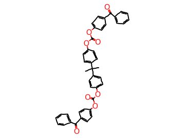 CC(C)(c1ccc(OC(=O)Oc2ccc(C(=O)c3ccccc3)cc2)cc1)c1ccc(OC(=O)Oc2ccc(C(=O)c3ccccc3)cc2)cc1